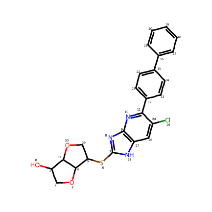 OC1COC2C(Sc3nc4nc(-c5ccc(-c6ccccc6)cc5)c(Cl)cc4[nH]3)COC12